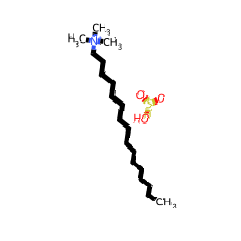 CCCCCCCCCCCCCCCC[N+](C)(C)C.O=[SH](=O)O